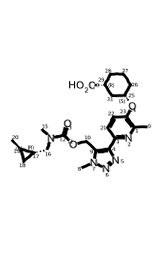 Cc1nc(-c2nnn(C)c2COC(=O)N(C)C[C@@H]2C[C@H]2C)ccc1O[C@H]1CCC[C@@H](C(=O)O)C1